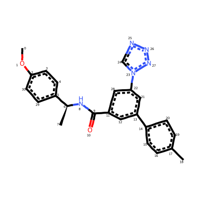 COc1ccc([C@H](C)NC(=O)c2cc(-c3ccc(C)cc3)cc(-n3cnnn3)c2)cc1